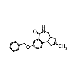 CN1CC2CNC(=O)c3cc(OCc4ccccc4)ccc3C2C1